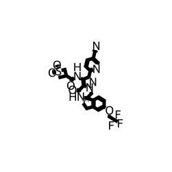 N#Cc1ccc(-c2nn3c(c2NC(=O)C2CS(=O)(=O)C2)C(=O)N[C@@]2(CCc4cc(OCC(F)(F)F)ccc42)C3)nc1